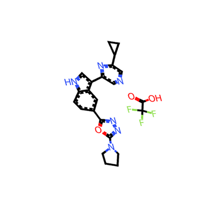 O=C(O)C(F)(F)F.c1cc2[nH]cc(-c3cncc(C4CC4)n3)c2cc1-c1nnc(N2CCCC2)o1